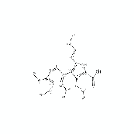 COCc1c(C(=O)O)[nH]c(/C=N/OC)c1-c1ccc(OC)c(OC)c1OC